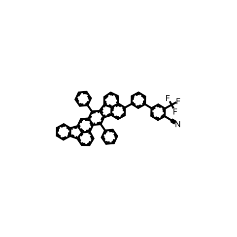 N#Cc1ccc(-c2cccc(-c3ccc4c5c(-c6ccccc6)c6c(cc7c8ccccc8c8cccc6c87)c(-c6ccccc6)c5c5cccc3c54)c2)cc1C(F)(F)F